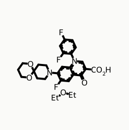 CCOCC.O=C(O)c1cn(-c2ccc(F)cc2F)c2cc(N3CCC4(CC3)OCCCO4)c(F)cc2c1=O